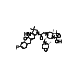 C[C@@H]1COCCN1C[C@H]1CN(C(=O)O)[C@](C)(C(C)(C)C)CN1CC(=O)N1CC(C)(C)c2[nH]c(=O)c(Cc3ccc(F)cc3)cc21